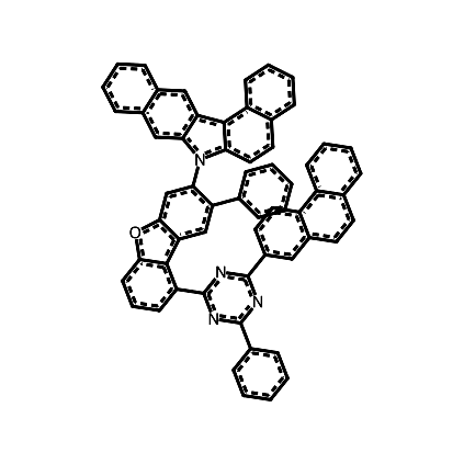 c1ccc(-c2nc(-c3ccc4c(ccc5ccccc54)c3)nc(-c3cccc4oc5cc(-n6c7cc8ccccc8cc7c7c8ccccc8ccc76)c(-c6ccccc6)cc5c34)n2)cc1